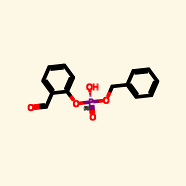 O=Cc1ccccc1O[P@@](=O)(O)OCc1ccccc1